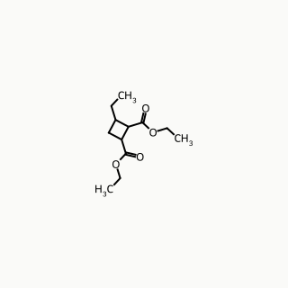 CCOC(=O)C1CC(CC)C1C(=O)OCC